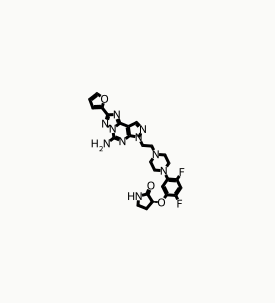 Nc1nc2c(cnn2CCN2CCN(c3cc(O[C@H]4CCNC4=O)c(F)cc3F)CC2)c2nc(-c3ccco3)nn12